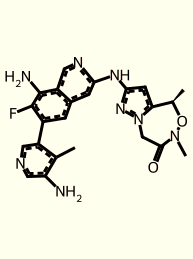 Cc1c(N)cncc1-c1cc2cc(Nc3cc4n(n3)CC(=O)N(C)O[C@@H]4C)ncc2c(N)c1F